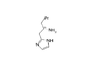 CC(C)C[C@H](N)Cc1ncc[nH]1